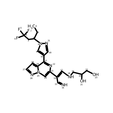 CCC(CC(F)(F)F)n1cc(-c2nc(/C(C=N)=C/NCC(O)CO)cn3nccc23)cn1